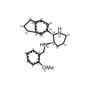 COc1ccccc1CN[C@@H]1CCCN[C@@H]1c1ccc2c(c1)CCC2